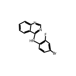 Fc1cc(Br)ccc1Nc1ncnc2ccccc12